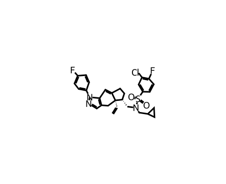 C=C[C@]12Cc3cnn(-c4ccc(F)cc4)c3C=C1CC[C@@H]2CN(CC1CC1)S(=O)(=O)c1ccc(F)c(Cl)c1